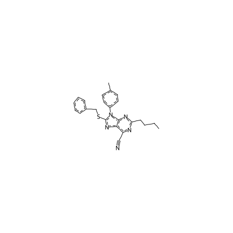 CCCCc1nc(C#N)c2nc(SCc3ccccc3)n(-c3ccc(C)cc3)c2n1